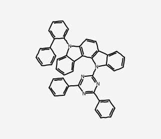 c1ccc(-c2nc(-c3ccccc3)nc(-n3c4ccccc4c4ccc5c(c6ccccc6n5-c5ccccc5-c5ccccc5)c43)n2)cc1